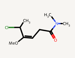 COC(=CCC(=O)N(C)C)C(C)Cl